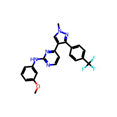 COc1cccc(Nc2nccc(-c3cn(C)nc3-c3ccc(C(F)(F)F)cc3)n2)c1